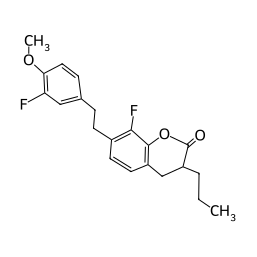 CCCC1Cc2ccc(CCc3ccc(OC)c(F)c3)c(F)c2OC1=O